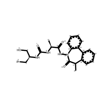 CC(C)C[C@@H](CO)NC(=O)N[C@@H](C)C(=O)NN1C(=O)C(C)c2ccccc2-c2ccccc21